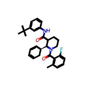 Cc1cccc(F)c1C(=O)N1CCCC(C(=O)Nc2cccc(C(C)(C)C)c2)C1[C@@H]1C=CC=CC1